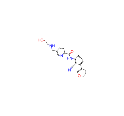 N#Cc1c(NC(=O)c2ccc(CNCCO)cn2)cccc1C1=COCCC1